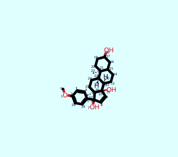 COc1ccc(C2(O)C=C[C@@]3(O)[C@@H]4CCC5CC(O)CC[C@]5(C)[C@@H]4CC[C@]23C)cc1